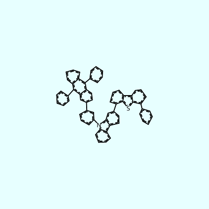 c1ccc(-c2c3ccccc3c(-c3ccccc3)c3cc(-c4cccc(-n5c6ccccc6c6ccc(-c7cccc8c7sc7c(-c9ccccc9)cccc78)cc65)c4)ccc23)cc1